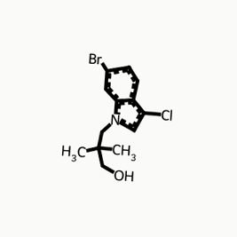 CC(C)(CO)Cn1cc(Cl)c2ccc(Br)cc21